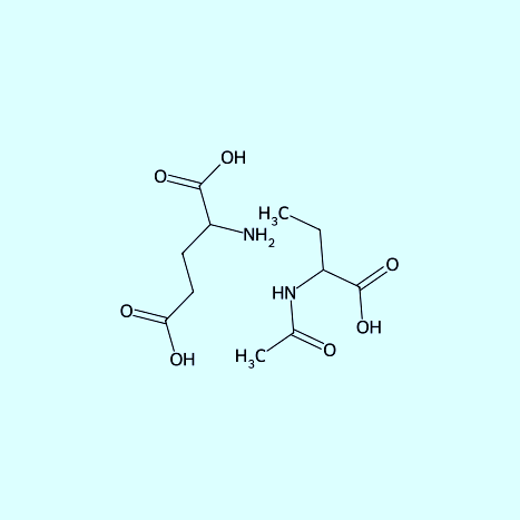 CCC(NC(C)=O)C(=O)O.NC(CCC(=O)O)C(=O)O